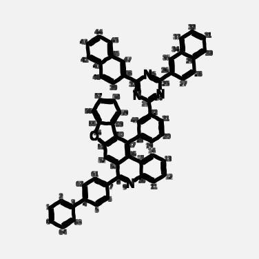 c1ccc(-c2ccc(-c3nc4ccccc4c4c(-c5cccc(-c6nc(-c7ccc8ccccc8c7)nc(-c7ccc8ccccc8c7)n6)c5)c5c(cc34)oc3ccccc35)cc2)cc1